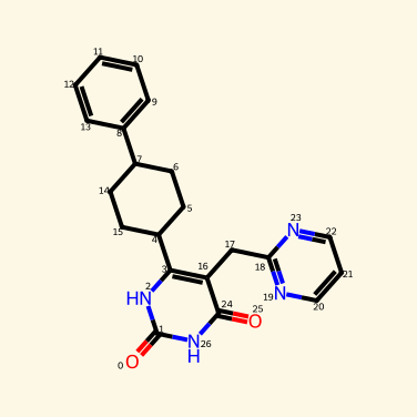 O=c1[nH]c(C2CCC(c3ccccc3)CC2)c(Cc2ncccn2)c(=O)[nH]1